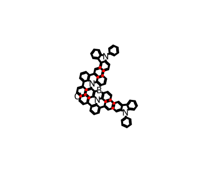 Clc1cc2c3c(c1)N(c1c(-c4ccccc4)cccc1-c1ccccc1)c1cc(-c4ccc5c(c4)c4ccccc4n5-c4ccccc4)ccc1B3c1ccc(-c3ccc4c(c3)c3ccccc3n4-c3ccccc3)cc1N2c1c(-c2ccccc2)cccc1-c1ccccc1